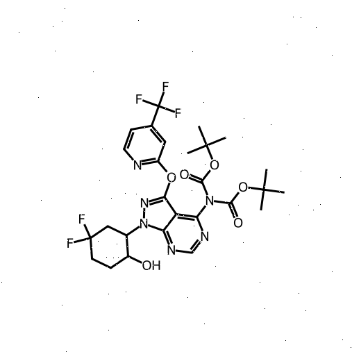 CC(C)(C)OC(=O)N(C(=O)OC(C)(C)C)c1ncnc2c1c(Oc1cc(C(F)(F)F)ccn1)nn2C1CC(F)(F)CCC1O